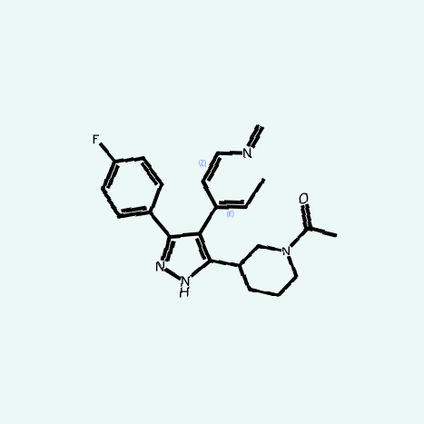 C=N/C=C\C(=C/C)c1c(-c2ccc(F)cc2)n[nH]c1C1CCCN(C(C)=O)C1